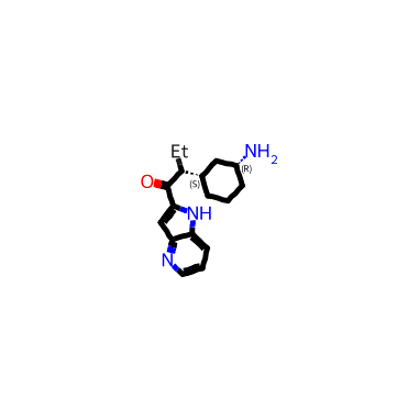 CCC(C(=O)c1cc2ncccc2[nH]1)[C@H]1CCC[C@@H](N)C1